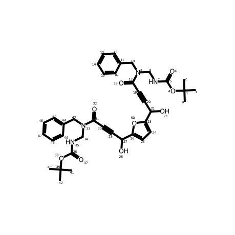 CC(C)(C)OC(=O)NCN(Cc1ccccc1)C(=O)C#CC(O)c1ccc(C(O)C#CC(=O)N(CNC(=O)OC(C)(C)C)Cc2ccccc2)o1